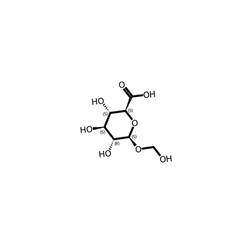 O=C(O)[C@H]1O[C@@H](OCO)[C@H](O)[C@@H](O)[C@@H]1O